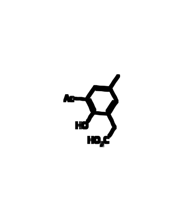 CC(=O)c1cc(C)cc(CC(=O)O)c1O